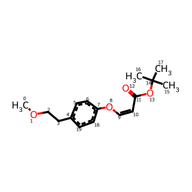 COCCc1ccc(O/C=C\C(=O)OC(C)(C)C)cc1